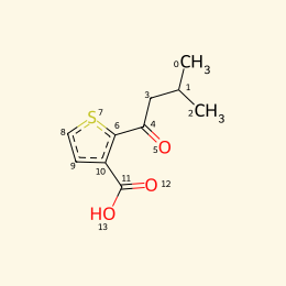 CC(C)CC(=O)c1sccc1C(=O)O